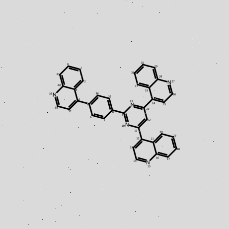 c1ccc2c(-c3ccc(-c4nc(-c5ccnc6ccccc56)cc(-c5ccnc6ccccc56)n4)cc3)ccnc2c1